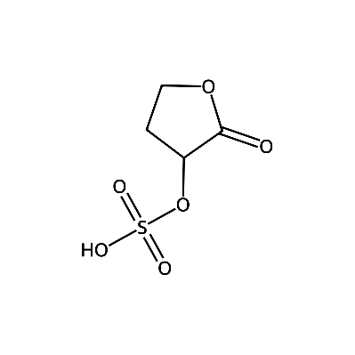 O=C1OCCC1OS(=O)(=O)O